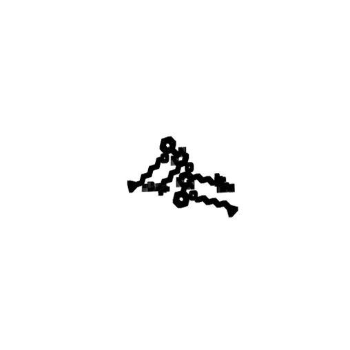 CCCC[Si](C)(C)CCCCc1nc(-c2ccccc2OCCCCCCC2CC2)ncc1Oc1cnc(-c2ccccc2OCCCCCCC2CC2)nc1CCCC[Si](C)(C)CCCC